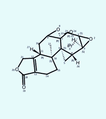 CC(C)[C@]12O[C@H]1[C@@H]1C[C@]13[C@]1(OC1C[C@H]1C4=C(CC[C@@]13C)C(=O)OC4)[C@@]21CO1